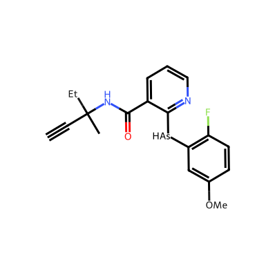 C#CC(C)(CC)NC(=O)c1cccnc1[AsH]c1cc(OC)ccc1F